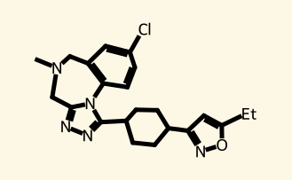 CCc1cc(C2CCC(c3nnc4n3-c3ccc(Cl)cc3CN(C)C4)CC2)no1